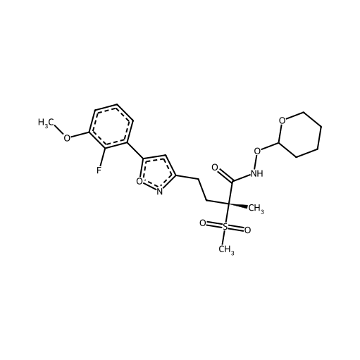 COc1cccc(-c2cc(CC[C@](C)(C(=O)NOC3CCCCO3)S(C)(=O)=O)no2)c1F